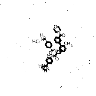 Cc1ccc(C[C@H](NC(=O)[C@H]2CC[C@H](CN)CC2)C(=O)Nc2ccc(-c3nnn[nH]3)cc2)cc1-c1cccc(C(=O)N2CCOCC2)c1.Cl